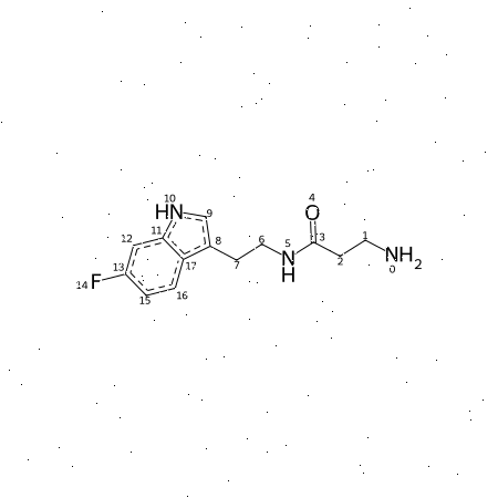 NCCC(=O)NCCc1c[nH]c2cc(F)ccc12